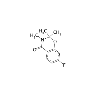 CN1C(=O)c2ccc(F)cc2OC1(C)C